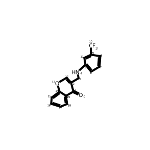 O=c1c(CNc2cccc(C(F)(F)F)c2)coc2ccccc12